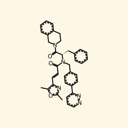 Cc1nc(C=CC(=O)N(Cc2ccc(-c3cccnn3)cc2)[C@@H](Cc2ccccc2)C(=O)N2CCc3ccccc3C2)c(C)o1